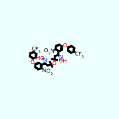 CC(C)(CC(=NO)c1cc(Oc2ccc(C(F)(F)F)cc2)ccc1[N+](=O)[O-])OC(C)(C)CC(=NO)c1cc(Oc2ccc(C(F)(F)F)cc2)ccc1[N+](=O)[O-]